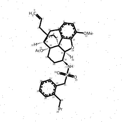 C=CCN1CC[C@]23c4c5ccc(OC)c4O[C@H]2[C@@H](NS(=O)(=O)Cc2ccccc2CC(C)C)CC[C@@]3(OC(C)=O)[C@H]1C5